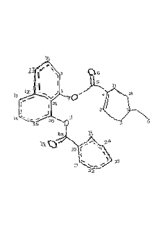 CC1CC=C(C(=O)Oc2cccc3cccc(OC(=O)c4ccccc4)c23)CC1